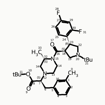 Cc1cccc(C[C@@H](C(=O)OC(C)(C)C)N2CCN(C(=O)[C@@H]3CN(C(C)(C)C)C[C@H]3c3ccc(F)cc3F)[C@@H](C)C2)c1